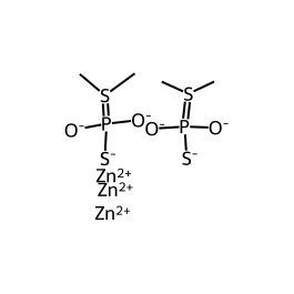 CS(C)=P([O-])([O-])[S-].CS(C)=P([O-])([O-])[S-].[Zn+2].[Zn+2].[Zn+2]